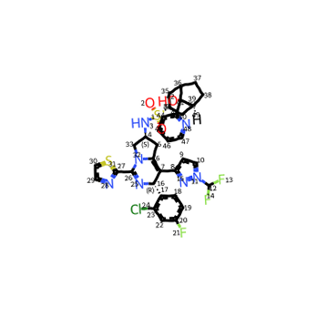 O=S(=O)(N[C@H]1CC2=C(c3ccn(C(F)F)n3)[C@H](c3ccc(F)cc3Cl)N=C(c3nccs3)N2C1)[C@@H]1CC2CC[C@@H](C1)C2(O)c1ccccn1